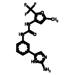 Cc1cc(NC(=O)Nc2cccc(-c3cnc(N)[nH]3)c2)c(C(F)(F)F)o1